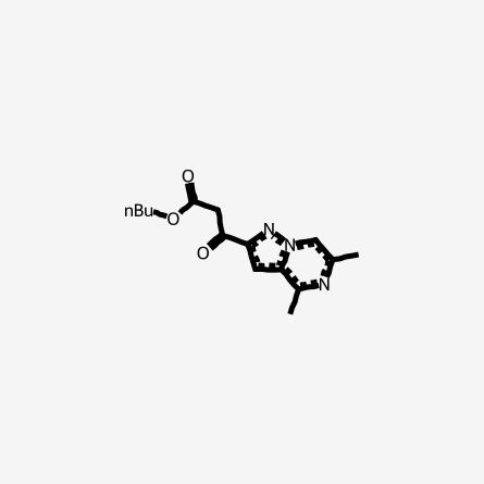 CCCCOC(=O)CC(=O)c1cc2c(C)nc(C)cn2n1